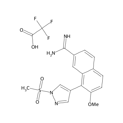 COc1ccc2ccc(C(=N)N)cc2c1-c1cnn(S(C)(=O)=O)c1.O=C(O)C(F)(F)F